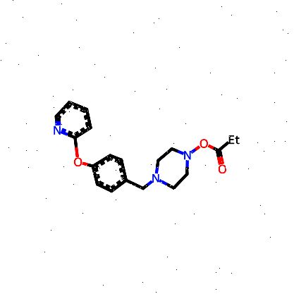 CCC(=O)ON1CCN(Cc2ccc(Oc3ccccn3)cc2)CC1